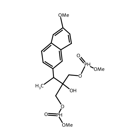 COc1ccc2cc(C(C)C(O)(CO[PH](=O)OC)CO[PH](=O)OC)ccc2c1